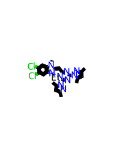 CCN1/C(=C\c2nc(-n3nc(C)cc3C)nc(-n3nc(C)cc3C)n2)N(C)c2cc(Cl)c(Cl)cc21